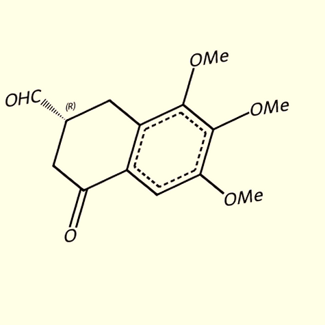 COc1cc2c(c(OC)c1OC)C[C@@H](C=O)CC2=O